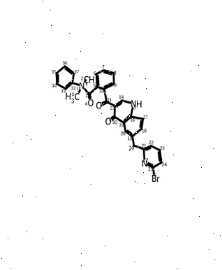 C[N+](C)(C(=O)c1ccccc1C(=O)c1c[nH]c2ccc(Cc3cccc(Br)n3)cc2c1=O)c1ccccc1